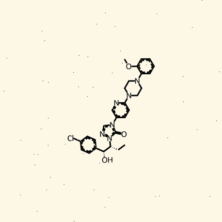 CC[C@H]([C@H](O)c1ccc(Cl)cc1)n1ncn(-c2ccc(N3CCN(c4ccccc4OC)CC3)nc2)c1=O